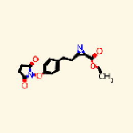 CCOC(=O)C1N=C1CCc1ccc(ON2C(=O)CCC2=O)cc1